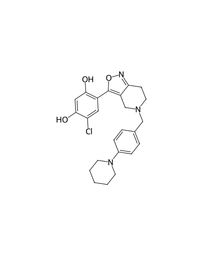 Oc1cc(O)c(-c2onc3c2CN(Cc2ccc(N4CCCCC4)cc2)CC3)cc1Cl